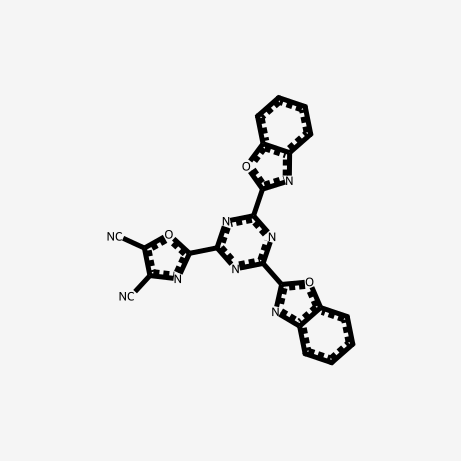 N#Cc1nc(-c2nc(-c3nc4ccccc4o3)nc(-c3nc4ccccc4o3)n2)oc1C#N